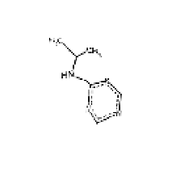 CC(C)Nc1ncncn1